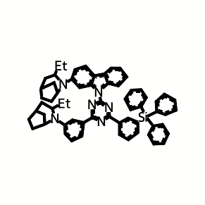 CCC1CC2CCC(C2)N1c1cccc(-c2nc(-c3cccc([Si](c4ccccc4)(c4ccccc4)c4ccccc4)c3)nc(-n3c4ccccc4c4ccc(N5C(CC)CC6CCC5C6)cc43)n2)c1